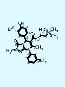 CC1=C(C(=O)OCC[N+](C)(C)C)C(c2ccc(C#N)cc2)n2c(nn(C)c2=O)N1c1cccc(C(F)(F)F)c1.[Br-]